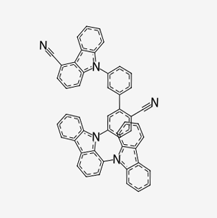 N#Cc1ccc(-n2c3ccccc3c3cccc(-n4c5ccccc5c5ccccc54)c32)cc1-c1cccc(-n2c3ccccc3c3c(C#N)cccc32)c1